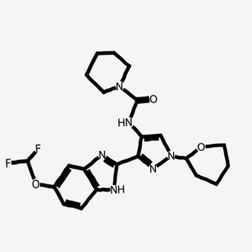 O=C(Nc1cn(C2CCCCO2)nc1-c1nc2cc(OC(F)F)ccc2[nH]1)N1CCCCC1